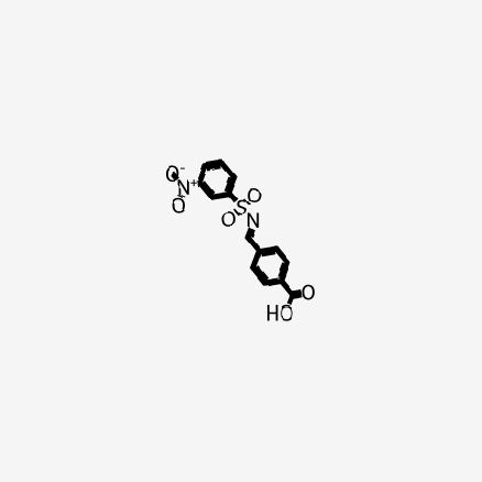 O=C(O)c1ccc(C=NS(=O)(=O)c2cccc([N+](=O)[O-])c2)cc1